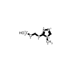 Cn1cnnc1SCOC(=O)O